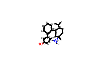 CC(C)C1CCC(C)(N(C)C)CC1C1CCCCC1c1cccc(O)c1